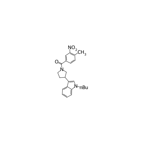 CCCCn1cc(C2CCN(C(=O)c3ccc(C)c([N+](=O)[O-])c3)C2)c2ccccc21